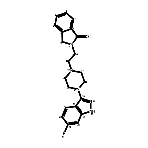 O=C1c2ccccc2CN1CCN1CCN(c2n[nH]c3cc(F)ccc23)CC1